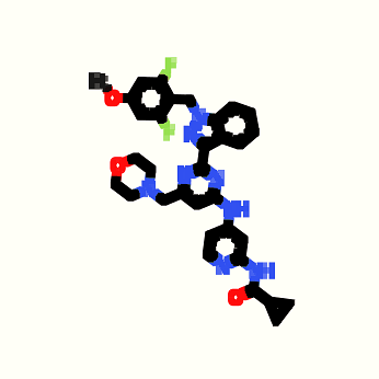 CCOc1cc(F)c(Cn2nc(-c3nc(CN4CCOCC4)cc(Nc4ccnc(NC(=O)C5CC5)c4)n3)c3ccccc32)c(F)c1